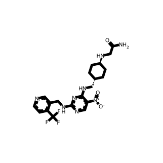 NC(=O)CN[C@H]1CC[C@H](CNc2nc(NCc3cnccc3C(F)(F)F)ncc2[N+](=O)[O-])CC1